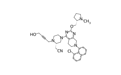 CN1CCC[C@H]1COc1nc2c(c(N3CCN(CC#CCO)[C@@H](CC#N)C3)n1)CCN(c1cccc3cccc(Cl)c13)C2